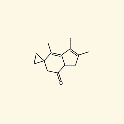 CC1=C(C)C2=C(C)C3(CC3)CC(=O)C2C1